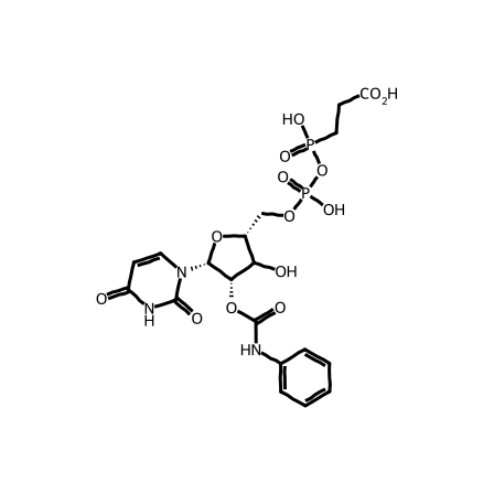 O=C(O)CCP(=O)(O)OP(=O)(O)OC[C@H]1O[C@@H](n2ccc(=O)[nH]c2=O)[C@@H](OC(=O)Nc2ccccc2)C1O